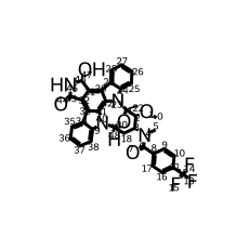 CO[C@@H]1[C@H](N(C)C(=O)c2ccc(C(F)(F)F)cc2)C[C@H]2O[C@]1(C)n1c3ccccc3c3c4c(c5c6ccccc6n2c5c31)C(=O)N[C@@H]4O